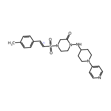 Cc1ccc(/C=C/S(=O)(=O)N2CCN(NC3CCN(c4ccncc4)CC3)C(=O)C2)cc1